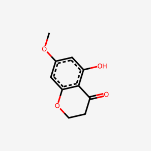 COc1cc(O)c2c(c1)OCCC2=O